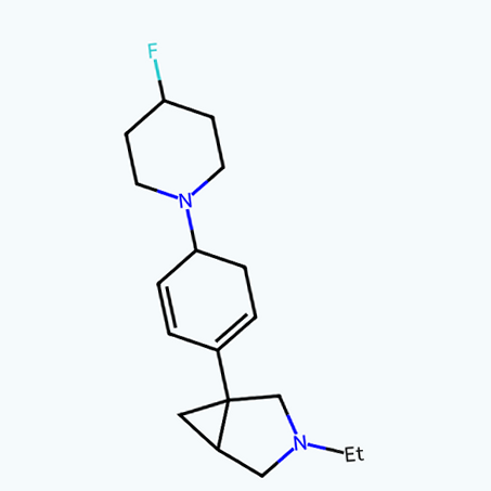 CCN1CC2CC2(C2=CCC(N3CCC(F)CC3)C=C2)C1